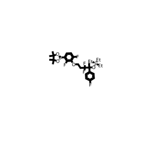 CC[Si](CC)(CC)OC(C)(c1ccc(F)cc1)C(F)(F)CCOc1c(F)ccc(B2OC(C)(C)C(C)(C)O2)c1F